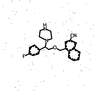 N#Cc1cc(COCC(c2ccc(F)cc2)N2CCNCC2)c2ccccc2c1